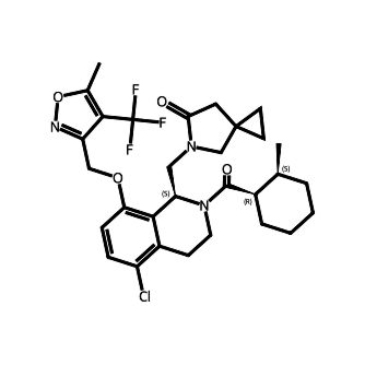 Cc1onc(COc2ccc(Cl)c3c2[C@@H](CN2CC4(CC4)CC2=O)N(C(=O)[C@@H]2CCCC[C@@H]2C)CC3)c1C(F)(F)F